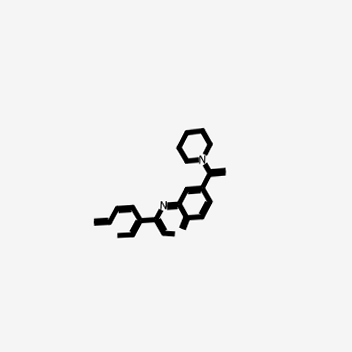 C=C\C=C/C(=C\C)C(=C/C)/N=C1/C=C(C(=C)N2CCCCC2)C=CC1=C